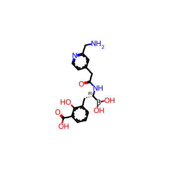 NCc1cc(CC(=O)N[C@@H](Cc2cccc(C(=O)O)c2O)B(O)O)ccn1